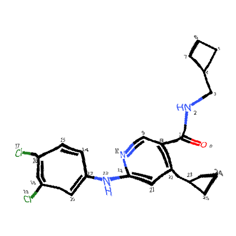 O=C(NCC1CCC1)c1cnc(Nc2ccc(Cl)c(Cl)c2)cc1C1CC1